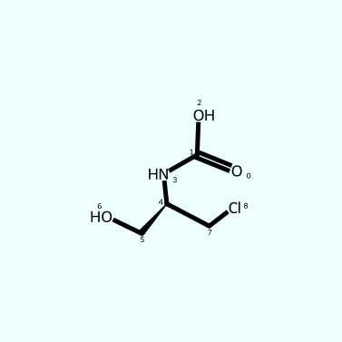 O=C(O)N[C@H](CO)CCl